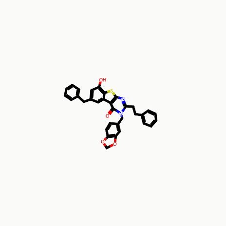 O=c1c2c(nc(CCc3ccccc3)n1Cc1ccc3c(c1)OCO3)sc1c(O)cc(Cc3ccccc3)cc12